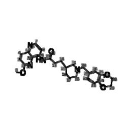 COc1ccc2nccc(NC(=O)CCC3CCCN(Cc4ccc5c(c4)OCCO5)C3)c2n1